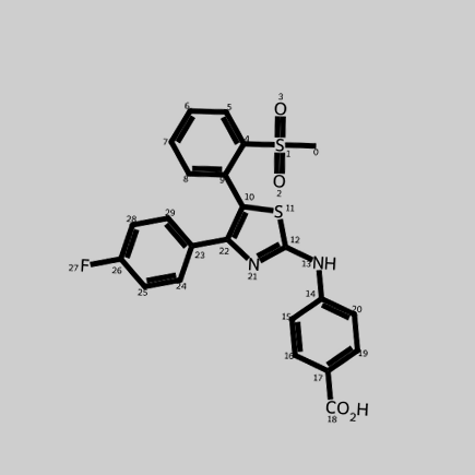 CS(=O)(=O)c1ccccc1-c1sc(Nc2ccc(C(=O)O)cc2)nc1-c1ccc(F)cc1